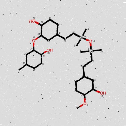 COC1CCC(CC[Si](C)(C)O[Si](C)(C)CCC2CCC(O)C(OC3CC(C)CCC3O)C2)CC1O